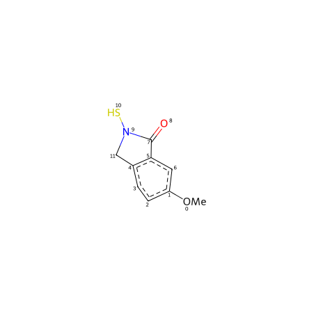 COc1ccc2c(c1)C(=O)N(S)C2